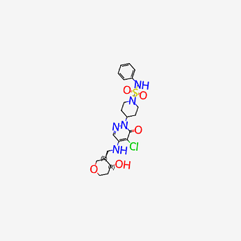 O=c1c(Cl)c(NC[C@@H]2COCC[C@H]2O)cnn1C1CCN(S(=O)(=O)Nc2ccccc2)CC1